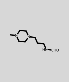 CN1CCN(CCCNC=O)CC1